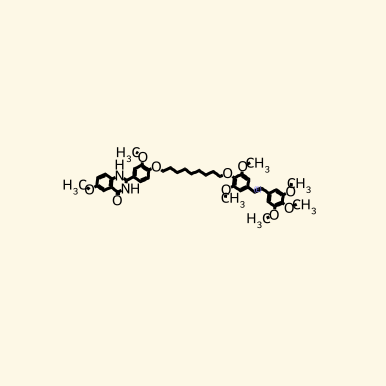 COc1ccc2c(c1)C(=O)NC(c1ccc(OCCCCCCCCCOc3c(OC)cc(/C=C/c4cc(OC)c(OC)c(OC)c4)cc3OC)c(OC)c1)N2